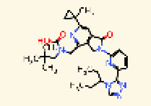 CCC(CC)n1cnnc1-c1cccc(N2Cc3c(cc(C4(C)CC4)nc3CN(CC(C)(C)C)C(=O)O)C2=O)n1